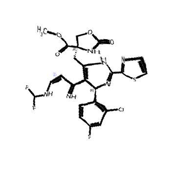 COC(=O)[C@@]1(CC2=C(C(=N)/C=C\NC(F)F)[C@H](c3ccc(F)cc3Cl)N=C(c3nccs3)N2)COC(=O)N1